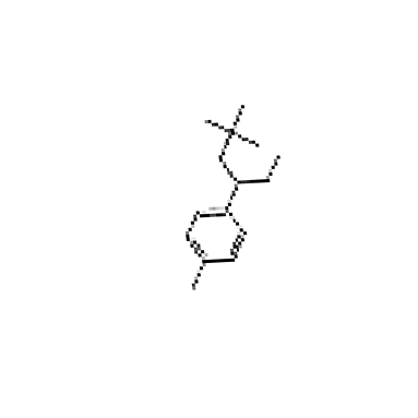 CCC(CC(C)(C)C)c1ccc(C)cc1